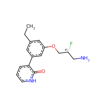 CCc1cc(OC[C@H](F)CN)cc(-c2ccc[nH]c2=O)c1